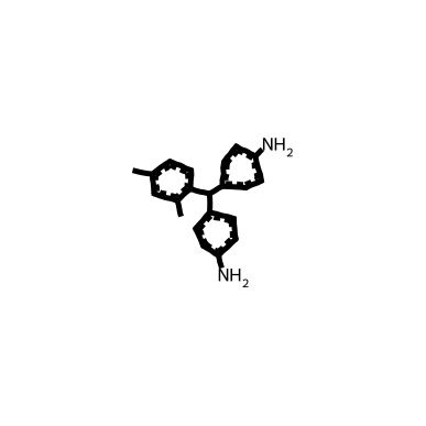 Cc1ccc(C(c2ccc(N)cc2)c2ccc(N)cc2)c(C)c1